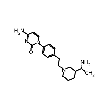 CC(N)C1CCCN(CCc2ccc(-n3ccc(N)nc3=O)cc2)C1